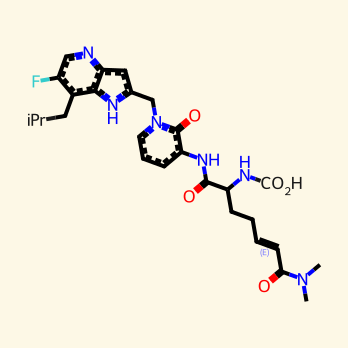 CC(C)Cc1c(F)cnc2cc(Cn3cccc(NC(=O)C(CC/C=C/C(=O)N(C)C)NC(=O)O)c3=O)[nH]c12